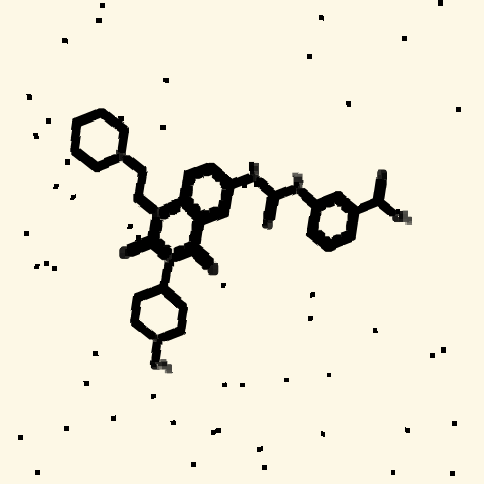 CC(=O)c1cccc(NC(=O)Nc2ccc3c(c2)c(=O)n(C2CCN(C)CC2)c(=O)n3CCN2CCCCC2)c1